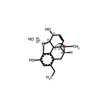 CCc1cc(O)c2c3c1C[C@@H]1[C@@H]4C=C[C@H](O)[C@H](O2)[C@]34CCN1C.Cl.O